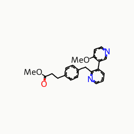 COC(=O)CCc1ccc(Cc2ncccc2-c2cnccc2OC)cc1